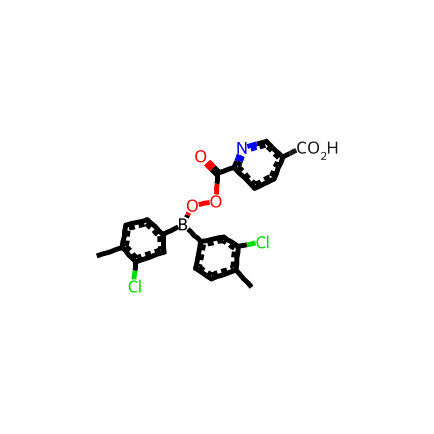 Cc1ccc(B(OOC(=O)c2ccc(C(=O)O)cn2)c2ccc(C)c(Cl)c2)cc1Cl